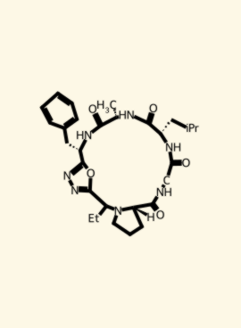 CCC1c2nnc(o2)[C@H](Cc2ccccc2)NC(=O)[C@H](C)NC(=O)[C@H](CC(C)C)NC(=O)CNC(=O)[C@@H]2CCCN12